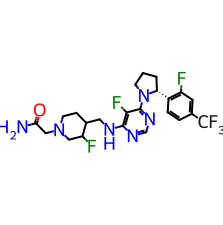 NC(=O)CN1CCC(CNc2ncnc(N3CCC[C@@H]3c3ccc(C(F)(F)F)cc3F)c2F)C(F)C1